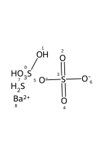 O=S(=O)(O)O.O=S(=O)([O-])[O-].S.[Ba+2]